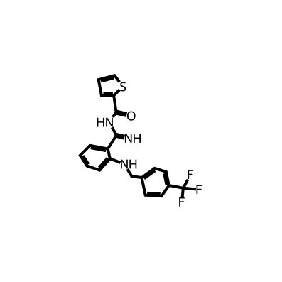 N=C(NC(=O)c1cccs1)c1ccccc1NCc1ccc(C(F)(F)F)cc1